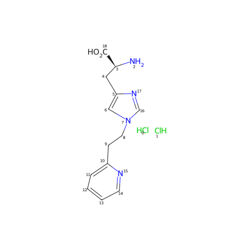 Cl.Cl.N[C@@H](Cc1cn(CCc2ccccn2)cn1)C(=O)O